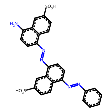 Nc1ccc(/N=N/c2ccc(/N=N/c3ccccc3)c3ccc(S(=O)(=O)O)cc23)c2ccc(S(=O)(=O)O)cc12